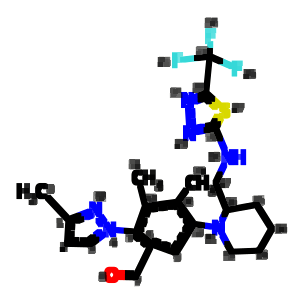 Cc1ccn(-c2c(C=O)cc(N3CCCCC3CNc3nnc(C(F)(F)F)s3)c(C)c2C)n1